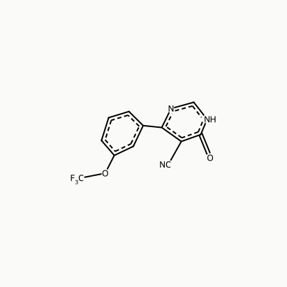 N#Cc1c(-c2cccc(OC(F)(F)F)c2)nc[nH]c1=O